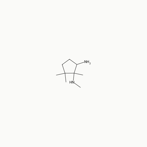 CNC1(C)C(N)CCC1(C)C